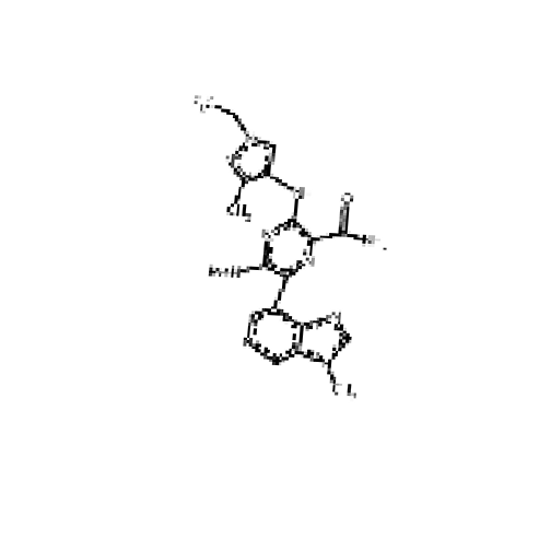 CNc1nc(Nc2cn(CC(F)(F)F)nc2C)c(C(N)=O)nc1-c1cncc2c1ncn2C